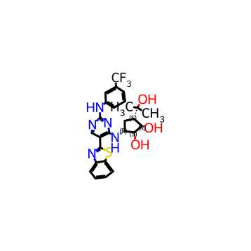 CC(C)(O)[C@H]1C[C@@H](Nc2nc(Nc3cccc(C(F)(F)F)c3)ncc2-c2nc3ccccc3s2)[C@H](O)[C@@H]1O